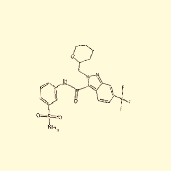 NS(=O)(=O)c1cccc(NC(=O)c2c3ccc(C(F)(F)F)cc3nn2CC2CCCCO2)c1